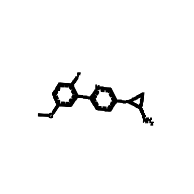 COc1ccc(F)c(-c2ccc(C3CC3N)cn2)c1